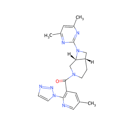 Cc1cnc(-n2ccnn2)c(C(=O)N2CC[C@H]3CN(c4nc(C)cc(C)n4)[C@H]3C2)c1